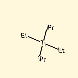 C[CH2][Ti]([CH2]C)([CH](C)C)[CH](C)C